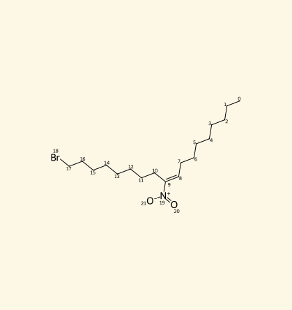 CCCCCCCC/C=C(\CCCCCCCCBr)[N+](=O)[O-]